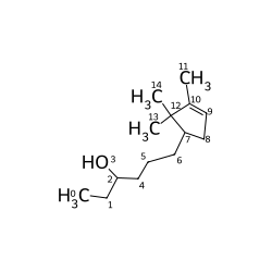 CCC(O)CCCC1CC=C(C)C1(C)C